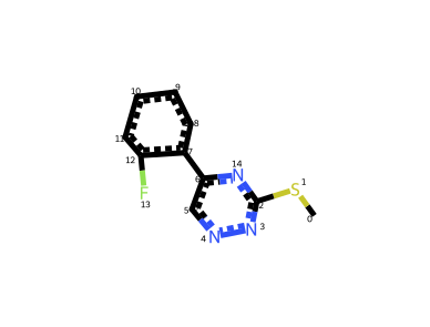 CSc1nncc(-c2ccccc2F)n1